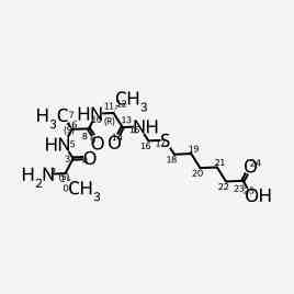 C[C@H](N)C(=O)N[C@@H](C)C(=O)N[C@H](C)C(=O)NCSCCCCCC(=O)O